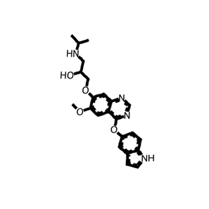 COc1cc2c(Oc3ccc4[nH]ccc4c3)ncnc2cc1OCC(O)CNC(C)C